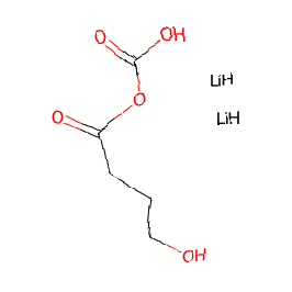 O=C(O)OC(=O)CCCO.[LiH].[LiH]